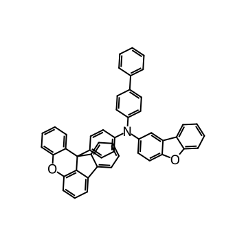 c1ccc(-c2ccc(N(c3ccc(C45c6ccccc6Oc6cccc(c64)-c4ccccc45)cc3)c3ccc4oc5ccccc5c4c3)cc2)cc1